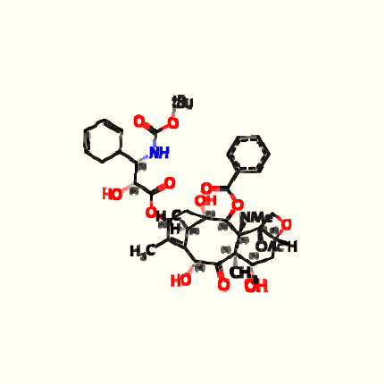 CN[C@]12[C@H](OC(=O)c3ccccc3)[C@]3(O)C[C@H](OC(=O)[C@H](O)[C@@H](NC(=O)OC(C)(C)C)C4C=CC=CC4)C(C)=C([C@@H](O)C(=O)[C@]1(C)[C@@H](O)C[C@H]1OC[C@]12OC(C)=O)[C@H]3C